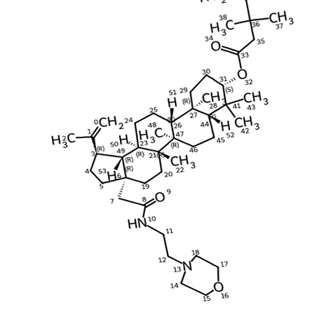 C=C(C)[C@@H]1CC[C@]2(CC(=O)NCCN3CCOCC3)CC[C@]3(C)[C@H](CC[C@@H]4[C@@]5(C)CC[C@H](OC(=O)CC(C)(C)CC(=O)O)C(C)(C)[C@@H]5CC[C@]43C)[C@@H]12